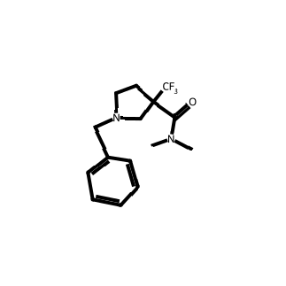 CN(C)C(=O)C1(C(F)(F)F)CCN(Cc2ccccc2)C1